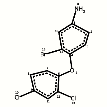 Nc1ccc(Oc2ccc(Cl)cc2Cl)c(Br)c1